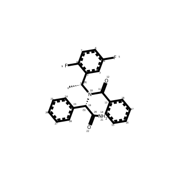 C[C@H](c1cc(F)ccc1F)N(C(=O)c1ccccc1)[C@H](C(N)=O)c1ccccc1